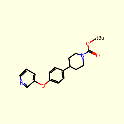 CC(C)(C)OC(=O)N1CCC(c2ccc(Oc3cccnc3)cc2)CC1